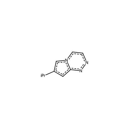 CC(C)c1cc2nnccn2c1